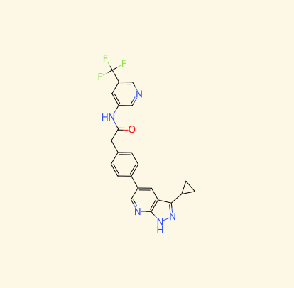 O=C(Cc1ccc(-c2cnc3[nH]nc(C4CC4)c3c2)cc1)Nc1cncc(C(F)(F)F)c1